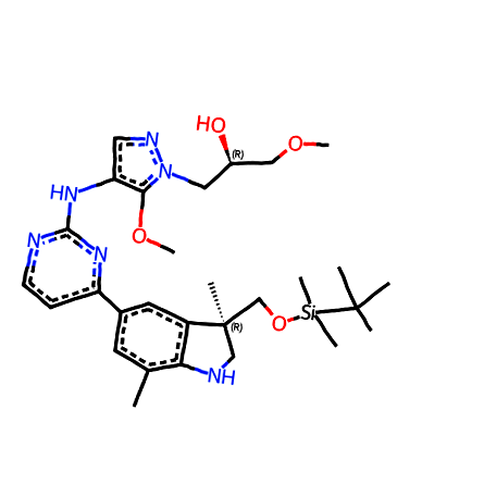 COC[C@H](O)Cn1ncc(Nc2nccc(-c3cc(C)c4c(c3)[C@@](C)(CO[Si](C)(C)C(C)(C)C)CN4)n2)c1OC